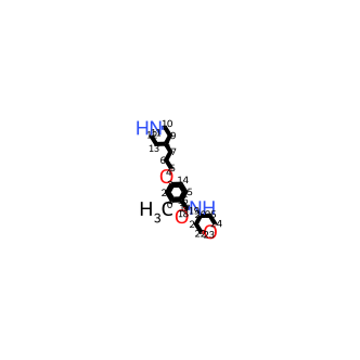 Cc1cc(OCCCC2CCNCC2)ccc1C(=O)NC1CCOCC1